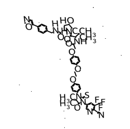 CC(C)(C)C(NC(=O)COc1ccc(OCCOc2ccc(N3C(=S)N(c4cnc(C#N)c(C(F)(F)F)c4)C(=O)C3(C)C)cc2)cc1)C(=O)N1C[C@H](O)C[C@H]1C(=O)NCc1ccc(-c2cnco2)cc1